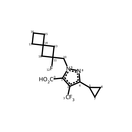 O=C(O)c1c(C(F)(F)F)c(C2CC2)nn1CC1(F)CC2(CCC2)C1